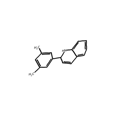 Cc1cc(C)cc(C2C=Cc3ccccc3N2)c1